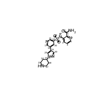 CN(c1cccnc1C(N)=O)S(=O)(=O)c1cncc(-c2cnn(C3CCNCC3)c2)c1